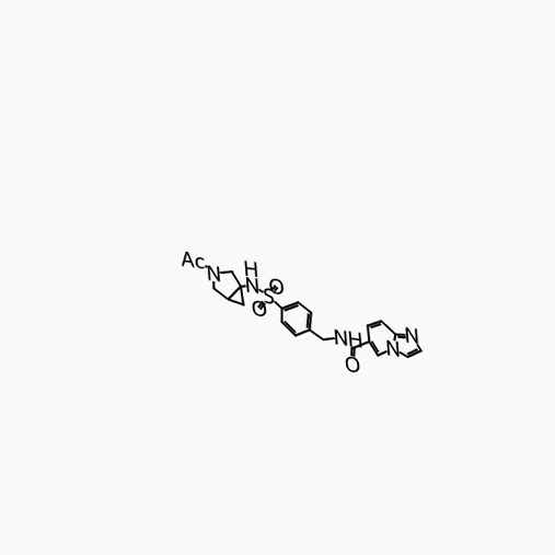 CC(=O)N1CC2CC2(NS(=O)(=O)c2ccc(CNC(=O)c3ccc4nccn4c3)cc2)C1